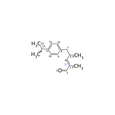 C/C(C=O)=C\C(C)Cc1ccc(C(C)C)cc1